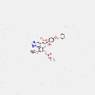 COC(=O)COc1cc(OC)ccc1CC1=C(c2ccc3nsnc3c2)C(=O)OC1(O)c1ccc(OCc2ccccc2)cc1